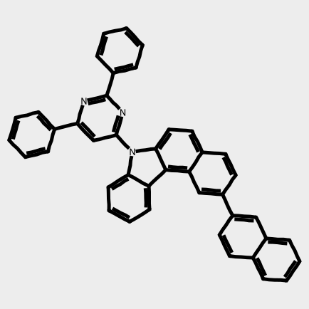 c1ccc(-c2cc(-n3c4ccccc4c4c5cc(-c6ccc7ccccc7c6)ccc5ccc43)nc(-c3ccccc3)n2)cc1